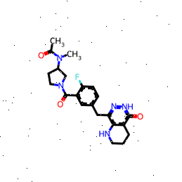 CC(=O)N(C)C1CCN(C(=O)c2cc(Cc3n[nH]c(=O)c4c3NCCC4)ccc2F)C1